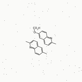 Cc1ccc2cc(OC(=O)O)ccc2n1.Cc1ccc2nc(C)ccc2c1